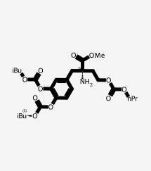 CCCOC(=O)OCC[C@@](N)(Cc1ccc(OC(=O)O[C@@H](C)CC)c(OC(=O)OC(C)CC)c1)C(=O)OC